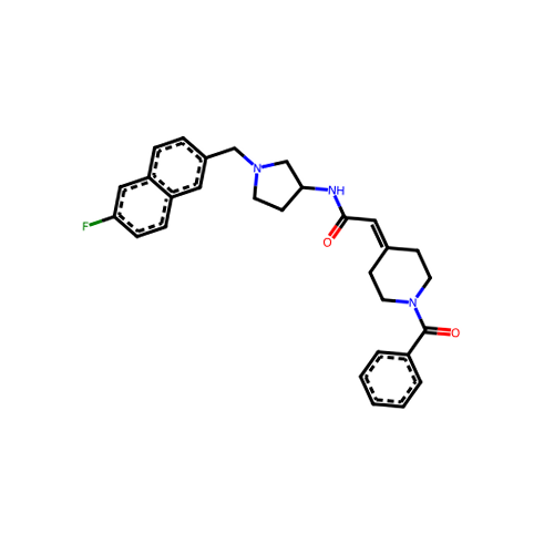 O=C(C=C1CCN(C(=O)c2ccccc2)CC1)NC1CCN(Cc2ccc3cc(F)ccc3c2)C1